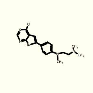 CN(C)CCN(C)c1ccc(-c2cc3c(Cl)ncnc3[nH]2)cc1